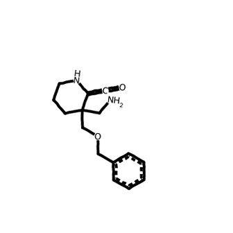 NCC1(COCc2ccccc2)CCCNC1=C=O